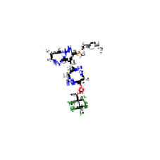 CCSc1nn2cccnc2c1-c1cnc(OCC(F)(F)C(F)(F)F)cn1